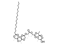 CCCCCCCCCCCCCCCCCC(=O)O[C@@H](C)C(=O)O[C@@H](C)C(=O)O[C@@H](C)C(=O)O[C@@H](C)C(=O)O[C@@H](C)C(=O)O[C@@H](C)C(=O)O[C@@H](C)C(=O)O